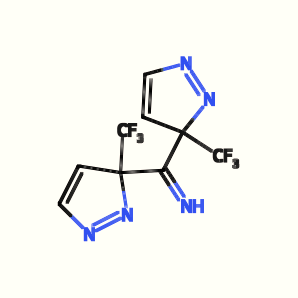 N=C(C1(C(F)(F)F)C=CN=N1)C1(C(F)(F)F)C=CN=N1